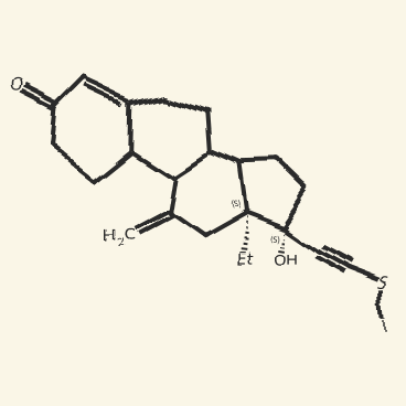 C=C1C[C@@]2(CC)C(CC[C@@]2(O)C#CSI)C2CCC3=CC(=O)CCC3C12